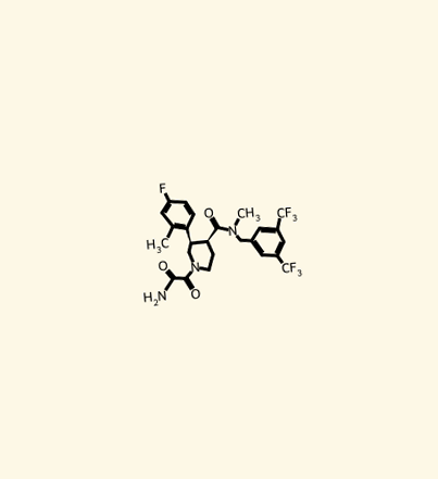 Cc1cc(F)ccc1[C@@H]1CN(C(=O)C(N)=O)CC[C@@H]1C(=O)N(C)Cc1cc(C(F)(F)F)cc(C(F)(F)F)c1